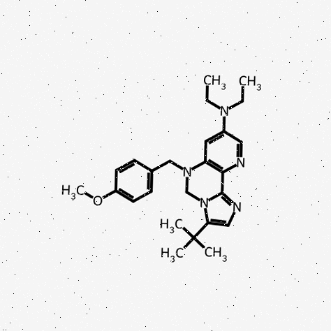 CCN(CC)c1cnc2c(c1)N(Cc1ccc(OC)cc1)Cn1c(C(C)(C)C)cnc1-2